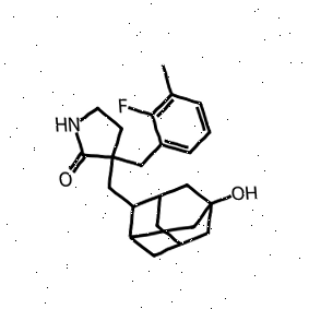 Cc1cccc(CC2(CC3C4CC5CC3CC(O)(C5)C4)CCNC2=O)c1F